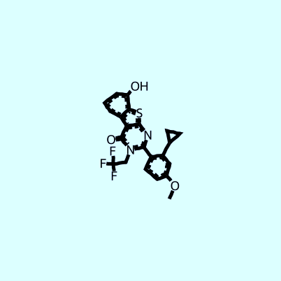 COc1ccc(-c2nc3sc4c(O)cccc4c3c(=O)n2CC(F)(F)F)c(C2CC2)c1